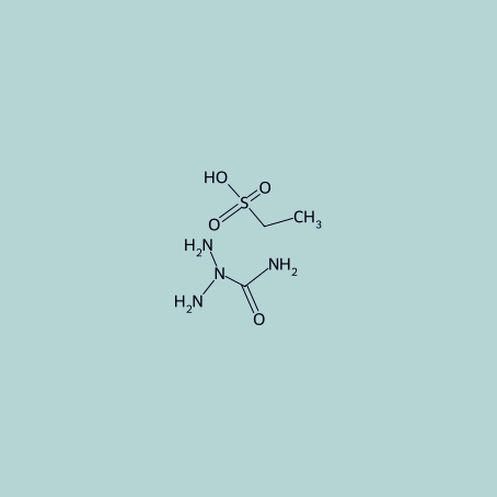 CCS(=O)(=O)O.NC(=O)N(N)N